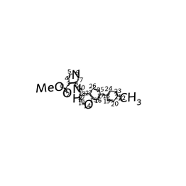 COC(=O)c1ccncc1NC[C@@H]1CCOc2cc(-c3ccc(C)cc3)ccc21